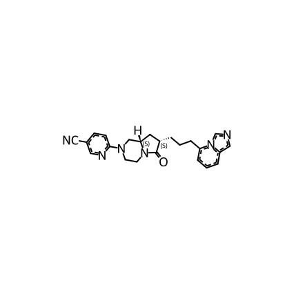 N#Cc1ccc(N2CCN3C(=O)[C@@H](CCCc4cccc5cncn45)C[C@H]3C2)nc1